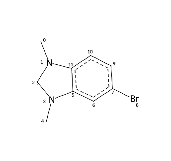 CN1[CH]N(C)c2cc(Br)ccc21